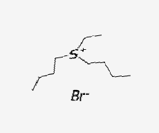 CCCC[S+](CC)CCCC.[Br-]